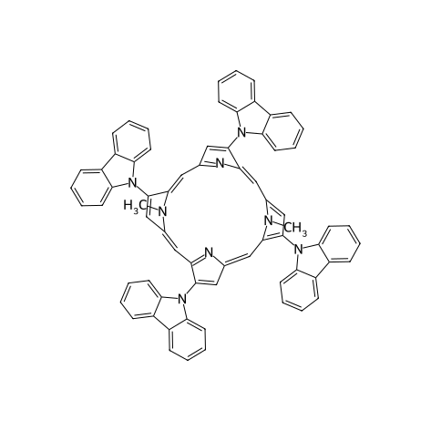 Cn1c2cc3nc(cc4c(-n5c6ccccc6c6ccccc65)cc(cc5nc(cc1c(-n1c6ccccc6c6ccccc61)c2)C=C5n1c2ccccc2c2ccccc21)n4C)C=C3n1c2ccccc2c2ccccc21